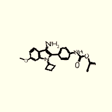 COc1ccc2c(N)c(-c3ccc(NC(=O)OC(C)C)cc3)n(C3CCC3)c2c1